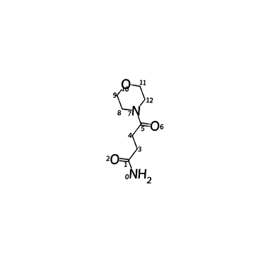 NC(=O)CCC(=O)N1CCOCC1